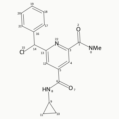 CNC(=O)c1cc(C(=O)NC2CC2)cc(C(Cl)c2ccccc2)n1